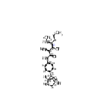 CCC/C(NC)=C(\Cl)C(=N)C(=O)Nc1ccc([C@H]2O[C@@H]3CN[C@H]2C3)cc1